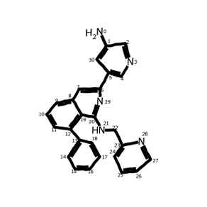 Nc1cncc(-c2cc3cccc(-c4ccccc4)c3c(NCc3ccccn3)n2)c1